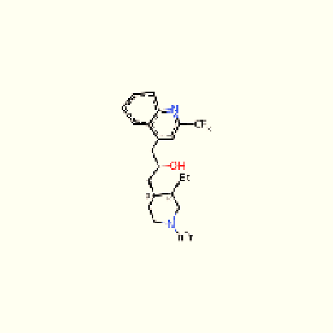 CCCN1CC[C@@H](CC(O)Cc2cc(C(F)(F)F)nc3ccccc23)[C@@H](CC)C1